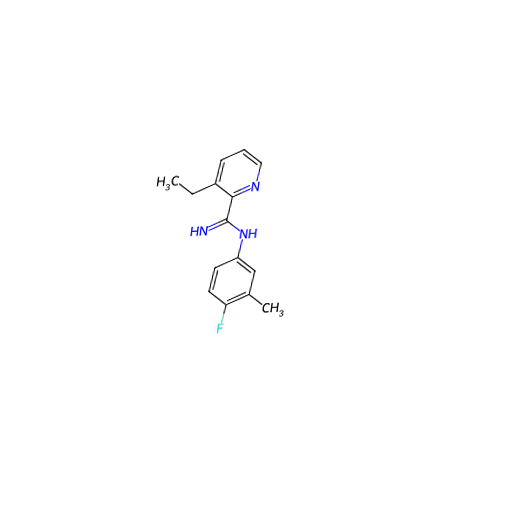 CCc1cccnc1C(=N)Nc1ccc(F)c(C)c1